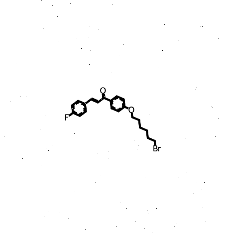 O=C(/C=C/c1ccc(F)cc1)c1ccc(OCCCCCCBr)cc1